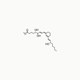 CCCCC[C@H](O)/C=C/C1=CC(=C\C=C\[C@@H](O)[C@@H](O)CCCC(=O)OC)/CCC1